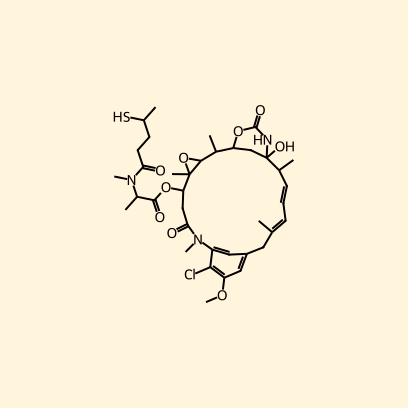 COc1cc2cc(c1Cl)N(C)C(=O)CC(OC(=O)C(C)N(C)C(=O)CCC(C)S)C1(C)OC1C(C)C1CC(O)(NC(=O)O1)C(C)/C=C/C=C(\C)C2